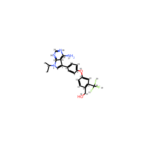 CC(C)n1cc(-c2ccc(Oc3ccc(CO)c(C(F)(F)F)c3)cc2)c2c(N)ncnc21